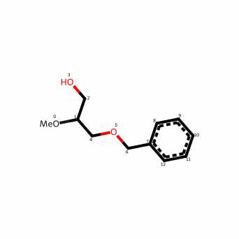 COC(CO)COCc1ccccc1